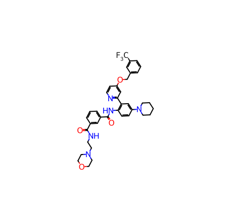 O=C(NCCN1CCOCC1)c1cccc(C(=O)Nc2ccc(N3CCCCC3)cc2-c2cc(OCc3cccc(C(F)(F)F)c3)ccn2)c1